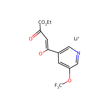 CCOC(=O)C(=O)C=C([O-])c1cncc(OC(F)(F)F)c1.[Li+]